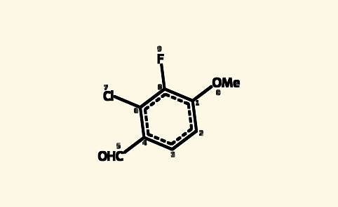 COc1ccc(C=O)c(Cl)c1F